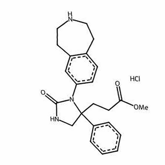 COC(=O)CCC1(c2ccccc2)CNC(=O)N1c1ccc2c(c1)CCNCC2.Cl